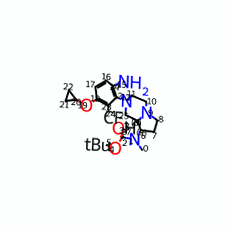 CN(C(=O)OC(C)(C)C)[C@@H]1CCN2CCN(c3c(N)ccc(OC4CC4)c3C(F)(F)F)C[C@@H]12